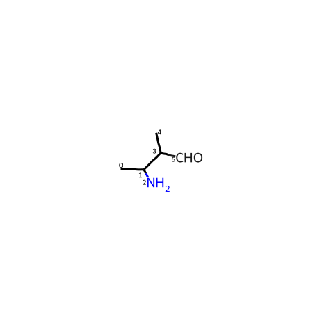 CC(N)C(C)C=O